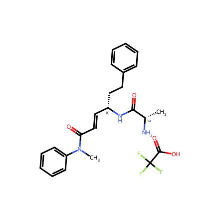 C[C@H](N)C(=O)N[C@H](C=CC(=O)N(C)c1ccccc1)CCc1ccccc1.O=C(O)C(F)(F)F